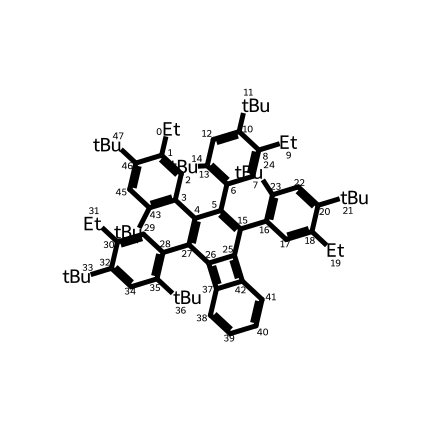 CCc1cc(-c2c(-c3cc(CC)c(C(C)(C)C)cc3C(C)(C)C)c(-c3cc(CC)c(C(C)(C)C)cc3C(C)(C)C)c3c(c2-c2cc(CC)c(C(C)(C)C)cc2C(C)(C)C)=c2ccccc2=3)c(C(C)(C)C)cc1C(C)(C)C